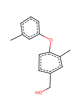 Cc1cccc(Oc2ccc(CO)cc2C)c1